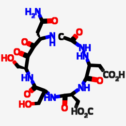 NC(=O)C[C@@H]1NCC(=O)NNC(CC(=O)O)C(=O)N[C@@H](CC(=O)O)C(=O)NC(CO)C(=O)N[C@@H](CO)C(=O)C1=O